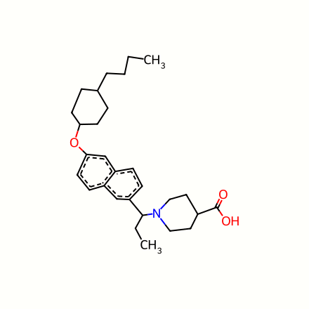 CCCCC1CCC(Oc2ccc3cc(C(CC)N4CCC(C(=O)O)CC4)ccc3c2)CC1